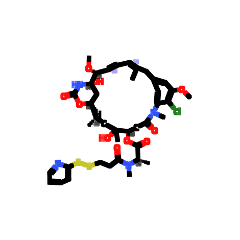 COc1cc2cc(c1Cl)N(C)C(=O)C[C@H](OC(=O)[C@H](C)N(C)C(=O)CCSSc1ccccn1)C(C)(O)C[C@H](C)[C@@H]1C[C@@](O)(NC(=O)O1)[C@H](OC)/C=C/C=C(\C)C2